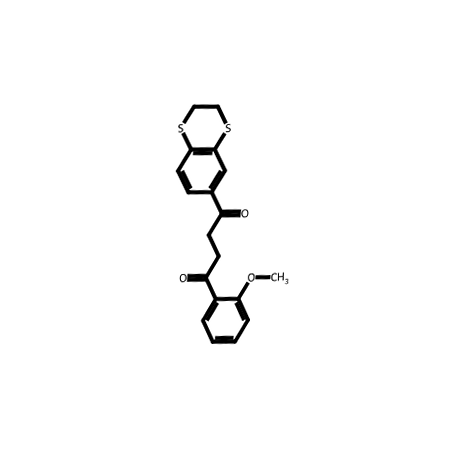 COc1ccccc1C(=O)CCC(=O)c1ccc2c(c1)SCCS2